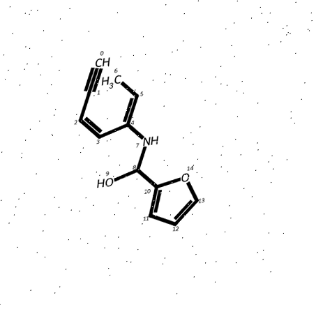 C#C/C=C\C(=C/C)NC(O)c1ccco1